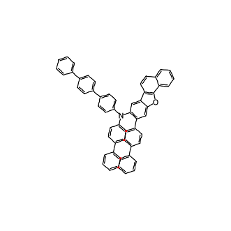 c1ccc(-c2ccc(-c3ccc(N(c4ccc(-c5ccccc5)cc4)c4cc5c(cc4-c4ccc(-c6ccccc6)cc4)oc4c6ccccc6ccc54)cc3)cc2)cc1